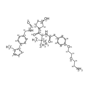 Cc1ncsc1-c1ccc(CNC(=O)[C@@H]2C[C@@H](O)CN2C(=O)C(NC(=O)Cc2ccc(OCCOCCN)cc2)C(C)(C)C)cc1